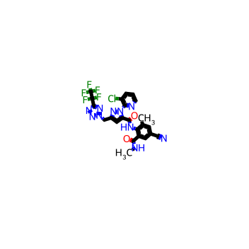 CNC(=O)c1cc(C#N)cc(C)c1NC(=O)c1cc(Cn2nnc(C(F)(F)C(F)(F)F)n2)nn1-c1ncccc1Cl